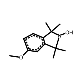 COc1ccc2c(c1)C(C)(C)N(O)C2(C)C